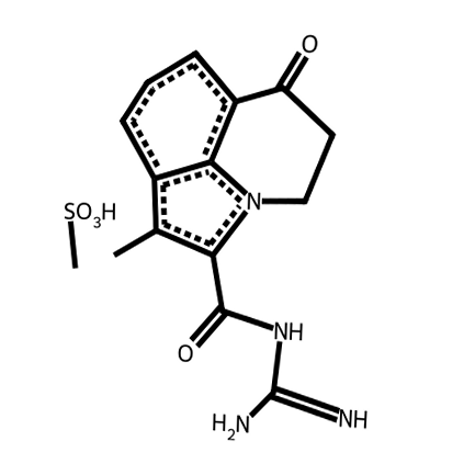 CS(=O)(=O)O.Cc1c(C(=O)NC(=N)N)n2c3c(cccc13)C(=O)CC2